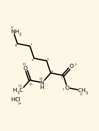 COC(=O)C(CCCCN)NC(C)=O.Cl